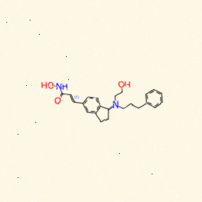 O=C(/C=C/c1ccc2c(c1)CCC2N(CCO)CCCc1ccccc1)NO